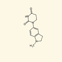 CN1CCc2cc(N3CCC(=O)NC3=O)ccc21